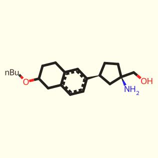 CCCCOC1CCc2cc([C@H]3CC[C@](N)(CO)C3)ccc2C1